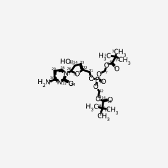 CC(C)(C)C(=O)OCOP(=O)(OCOC(=O)C(C)(C)C)OCC1=C[C@@H](O)C(n2ccc(N)nc2=O)O1